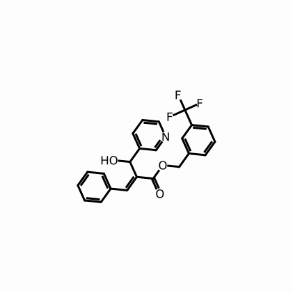 O=C(OCc1cccc(C(F)(F)F)c1)C(=Cc1ccccc1)C(O)c1cccnc1